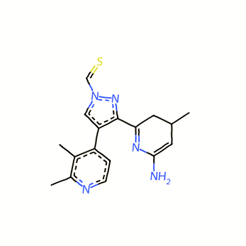 Cc1nccc(-c2cn(C=S)nc2C2=NC(N)=CC(C)C2)c1C